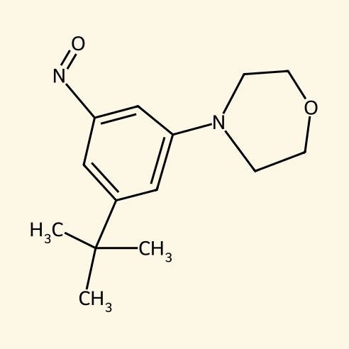 CC(C)(C)c1cc(N=O)cc(N2CCOCC2)c1